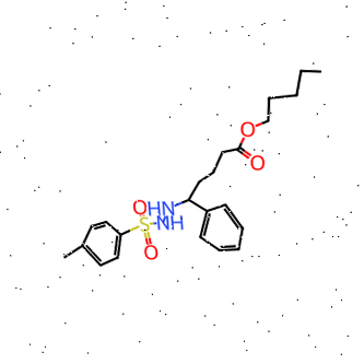 CCCCCOC(=O)CCCC(NNS(=O)(=O)c1ccc(C)cc1)c1ccccc1